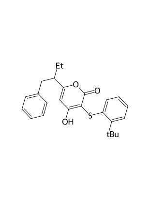 CCC(Cc1ccccc1)c1cc(O)c(Sc2ccccc2C(C)(C)C)c(=O)o1